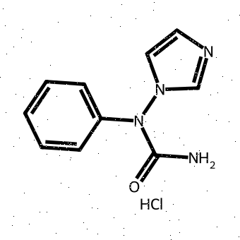 Cl.NC(=O)N(c1ccccc1)n1ccnc1